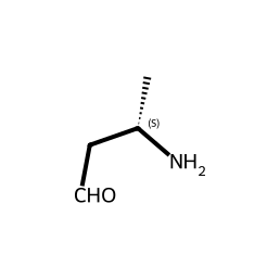 C[C@H](N)CC=O